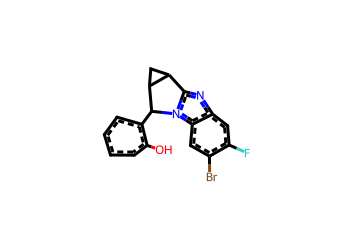 Oc1ccccc1C1C2CC2c2nc3cc(F)c(Br)cc3n21